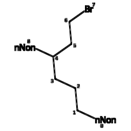 CCCCCCCCCCCCC(CCBr)CCCCCCCCC